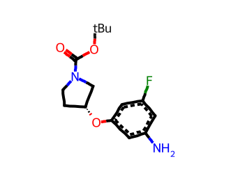 CC(C)(C)OC(=O)N1CC[C@@H](Oc2cc(N)cc(F)c2)C1